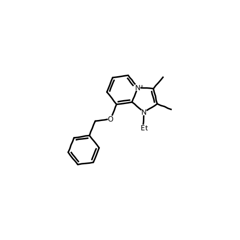 CCn1c(C)c(C)[n+]2cccc(OCc3ccccc3)c12